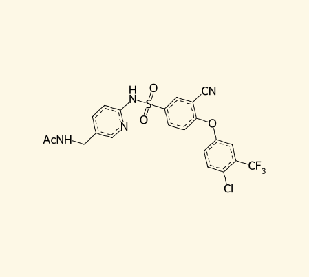 CC(=O)NCc1ccc(NS(=O)(=O)c2ccc(Oc3ccc(Cl)c(C(F)(F)F)c3)c(C#N)c2)nc1